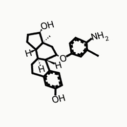 Cc1cc(O[C@H]2C[C@]3(C)[C@@H](O)CC[C@H]3[C@@H]3CCc4cc(O)ccc4[C@H]32)ccc1N